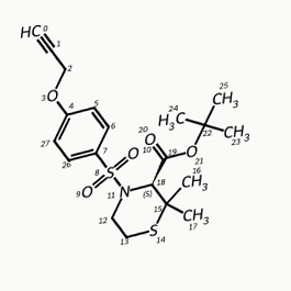 C#CCOc1ccc(S(=O)(=O)N2CCSC(C)(C)[C@@H]2C(=O)OC(C)(C)C)cc1